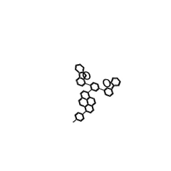 Cc1ccc(-c2ccc3ccc4c(-c5cc(-c6cccc7c6oc6ccccc67)ccc5-c5cccc6c5oc5ccccc56)ccc5ccc2c3c54)cc1